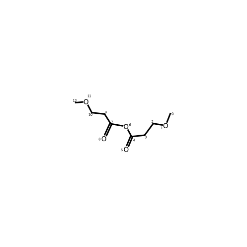 COCCC(=O)OC(=O)CCOC